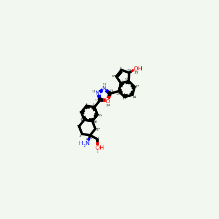 NC1(CO)CCc2ccc(-c3nnc(-c4cccc5c4C=CC5O)o3)cc2C1